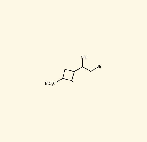 CCOC(=O)C1CC(C(O)CBr)S1